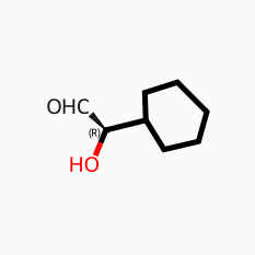 O=C[C@H](O)C1CCCCC1